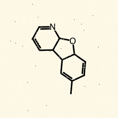 CC1=CC2C(C=C1)OC1N=CC=CC12